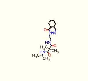 CC(C)NC(=O)C(C)(C)C(=O)NCCn1ncc2ccccc2c1=O